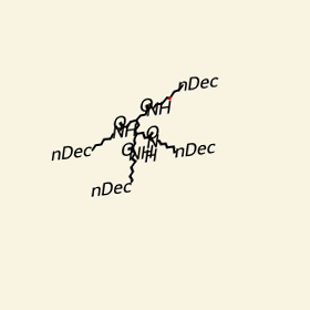 CCCCCCCCCCCCCCCCNC(=O)CCC(CCC(=O)NCCCCCCCCCCCCCCCC)CCC(CCC(=O)NCCCCCCCCCCCCCCCC)CCC(=O)NCCCCCCCCCCCCCCCC